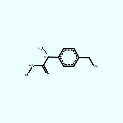 CCNC(=O)[C@H](C)c1ccc(CC(C)C)cc1